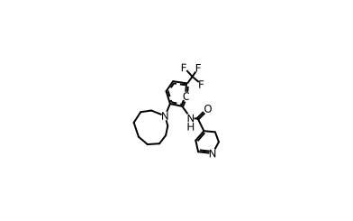 O=C(Nc1cc(C(F)(F)F)ccc1N1CCCCCCCC1)C1=CC=NCC1